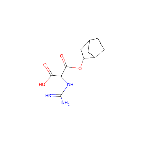 N=C(N)NC(C(=O)O)C(=O)OC1CC2CCC1C2